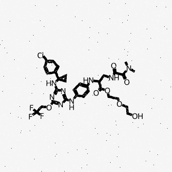 CN(C)C(=O)C(=O)NCC(Nc1ccc(Nc2nc(NC3(c4ccc(Cl)cc4)CC3)nc(OCC(F)(F)F)n2)cc1)C(=O)OCCOCCO